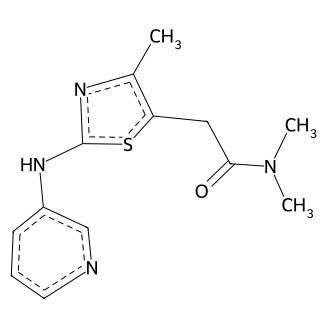 Cc1nc(Nc2cccnc2)sc1CC(=O)N(C)C